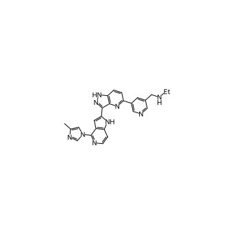 CCNCc1cncc(-c2ccc3[nH]nc(-c4cc5c(-n6cnc(C)c6)nccc5[nH]4)c3n2)c1